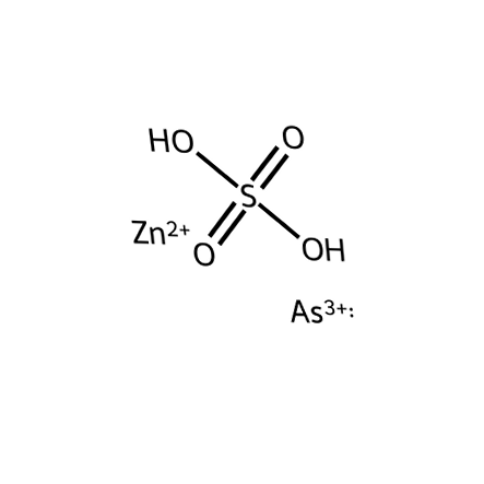 O=S(=O)(O)O.[As+3].[Zn+2]